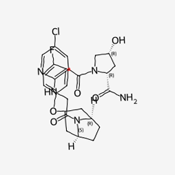 NC(=O)[C@H]1C[C@@H](O)CN1C(=O)c1cc(Cl)cnc1NCC(=O)N1[C@@H]2CC[C@H]1CC(Oc1ccc(F)cc1)C2